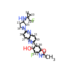 Cc1nc2c(F)c(O)c(-c3ccc4nc(N5CCC(NC6(CF)CC6)C5)ccc4n3)cc2o1